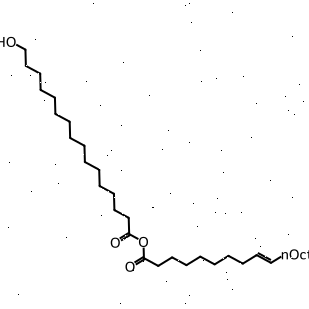 CCCCCCCCC=CCCCCCCCC(=O)OC(=O)CCCCCCCCCCCCCCCO